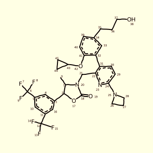 CC1C(c2cc(C(F)(F)F)cc(C(F)(F)F)c2)OC(=O)N1Cc1nc(N2CCC2)ccc1-c1cc(CCCO)ccc1OC1CC1